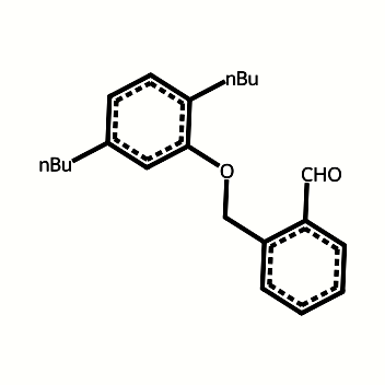 CCCCc1ccc(CCCC)c(OCc2ccccc2C=O)c1